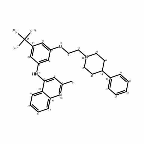 Cc1cc(Nc2cc(OCCN3CCC(c4ccccc4)CC3)cc(C(F)(F)F)c2)c2ccccc2n1